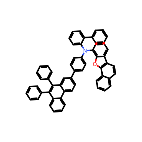 c1ccc(-c2ccccc2N(c2ccc(-c3ccc4c(c3)c(-c3ccccc3)c(-c3ccccc3)c3ccccc34)cc2)c2cccc3c2oc2c4ccccc4ccc32)cc1